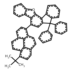 CC(C)(C)c1ccc2ccc3c(-c4cc5c(c6oc7ccccc7c46)-c4ccccc4C5(c4ccccc4)c4ccccc4)ccc4ccc1c2c43